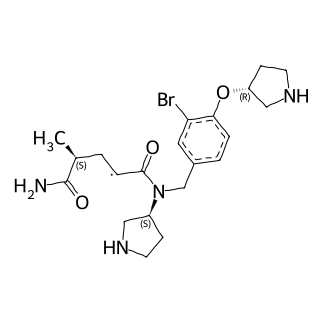 C[C@@H](C[CH]C(=O)N(Cc1ccc(O[C@@H]2CCNC2)c(Br)c1)[C@H]1CCNC1)C(N)=O